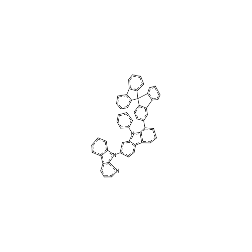 c1ccc(-n2c3cc(-n4c5ccccc5c5cccnc54)ccc3c3cccc(-c4ccc5c(c4)-c4ccccc4C54c5ccccc5-c5ccccc54)c32)cc1